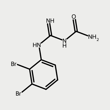 N=C(NC(N)=O)Nc1cccc(Br)c1Br